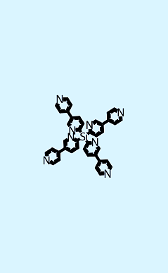 c1cc(-c2ccc([Si](c3ccc(-c4ccncc4)cn3)(c3ccc(-c4ccncc4)cn3)c3ccc(-c4ccncc4)cn3)nc2)ccn1